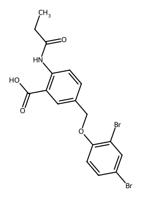 CCC(=O)Nc1ccc(COc2ccc(Br)cc2Br)cc1C(=O)O